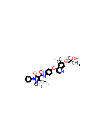 Cc1cc2c(Oc3ccc(NC(=O)c4c(C)n(C)n(-c5ccccc5)c4=O)cc3)ccnc2cc1OCC(C)(C)O